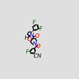 N#Cc1cc(F)cc(C(=O)N2CCC3(CC2)O[C@@H]2CC[C@@H](c4cc(F)cc(F)c4)N2C3=O)c1